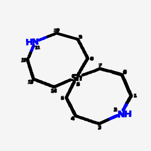 C1CNCC[CH2][Sn]2([CH2]1)[CH2]CCNCC[CH2]2